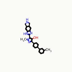 Cc1cccc(-c2ccc(-c3nn(C)c(-c4nc5cc6c(cc5[nH]4)CNC6)c3O)cc2)c1